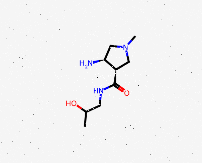 CC(O)CNC(=O)[C@@H]1CN(C)C[C@@H]1N